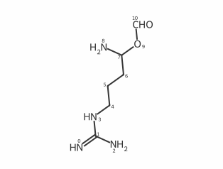 N=C(N)NCCCC(N)OC=O